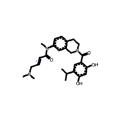 CC(C)c1cc(C(=O)N2CCc3ccc(N(C)C(=O)/C=C/CN(C)C)cc3C2)c(O)cc1O